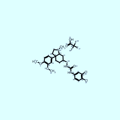 COc1ccc(C23CCC(SNC(=O)Nc4ccc(Cl)c(Cl)c4)CC2N(C)CC3)cc1OC.O=C(O)C(F)(F)F